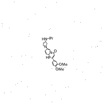 COc1ccc(C2=CC(=O)N3C=C(N4CCC(NC(C)C)C4)C=CC3P2)cc1OC